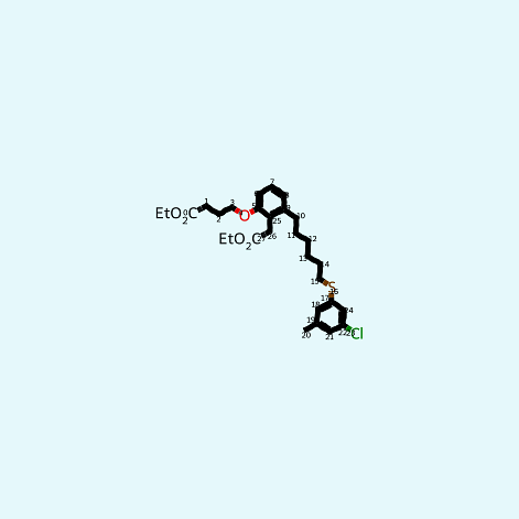 CCOC(=O)CCCOc1cccc(CCCCCCSc2cc(C)cc(Cl)c2)c1CC(=O)OCC